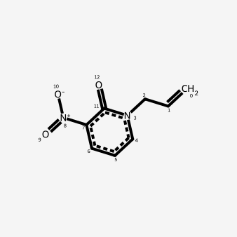 C=CCn1cccc([N+](=O)[O-])c1=O